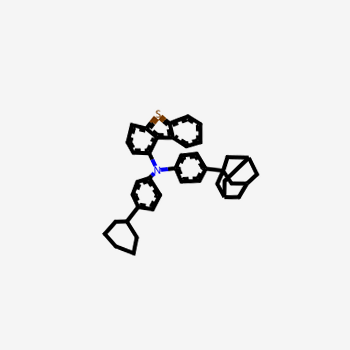 c1ccc2c(c1)sc1cccc(N(c3ccc(C4CCCCC4)cc3)c3ccc(C45CC6CC(CC(C6)C4)C5)cc3)c12